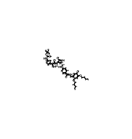 CCCCOc1cn(OCCCC)c(CNC(=O)c2ccc(NC[C@H]3NC(=O)[C@H]3NC(=O)C(=N)c3csc(NC(=O)OC(C)(C)C)n3)nc2)cc1=O